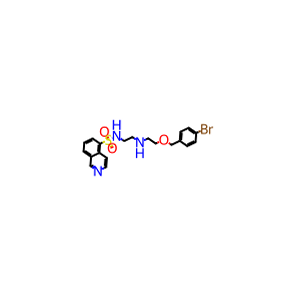 O=S(=O)(NCCNCCOCc1ccc(Br)cc1)c1cccc2cnccc12